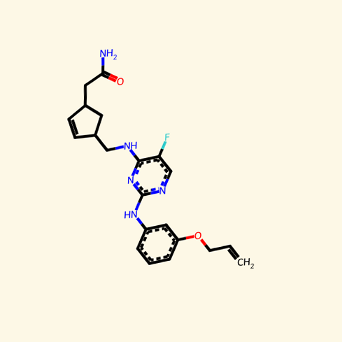 C=CCOc1cccc(Nc2ncc(F)c(NCC3C=CC(CC(N)=O)C3)n2)c1